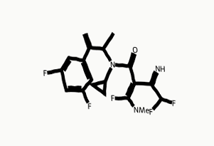 C=C(c1cc(F)cc(F)c1)C(C)N(C(=O)/C(C(=N)C(F)F)=C(\F)NC)C1CC1